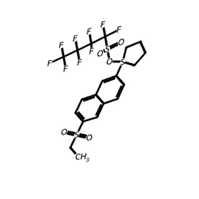 CCS(=O)(=O)c1ccc2cc(S3(OS(=O)(=O)C(F)(F)C(F)(F)C(F)(F)C(F)(F)F)CCCC3)ccc2c1